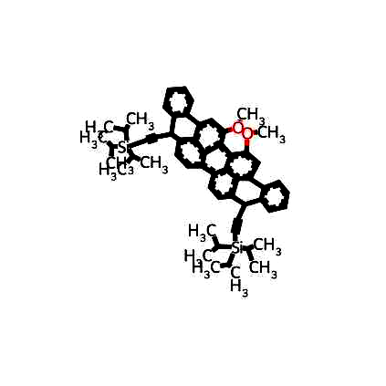 COc1cc2c3c(ccc4c5ccc6c7c(cc(OC)c(c1c34)c75)-c1ccccc1C6C#C[Si](C(C)C)(C(C)C)C(C)C)C(C#C[Si](C(C)C)(C(C)C)C(C)C)c1ccccc1-2